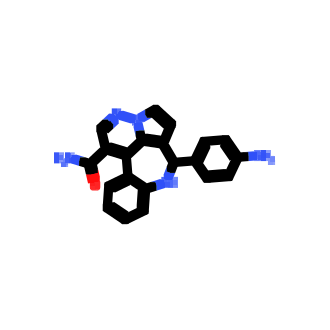 NC(=O)c1cnn2ccc3c2c1-c1ccccc1NC3c1ccc(N)cc1